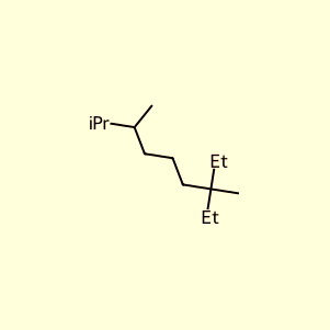 CCC(C)(CC)CCCC(C)C(C)C